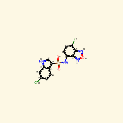 O=S(=O)(Nc1ccc(F)c2nonc12)c1c[nH]c2cc(Cl)ccc12